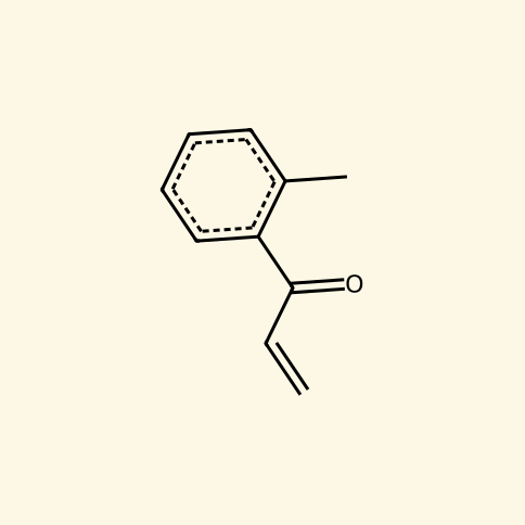 C=CC(=O)c1ccccc1C